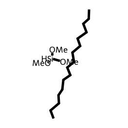 CCCCCCCCCCCCCCCC.CO[SiH](OC)OC